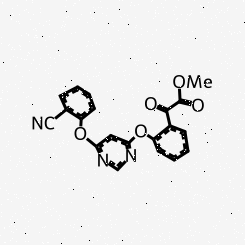 COC(=O)C(=O)c1ccccc1Oc1cc(Oc2ccccc2C#N)ncn1